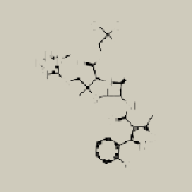 Cc1onc(-c2ccccc2Cl)c1C(=O)NC1C(=O)N2C1SC(C)(CSc1nnnn1C)C2C(=O)OCC(Cl)(Cl)Cl